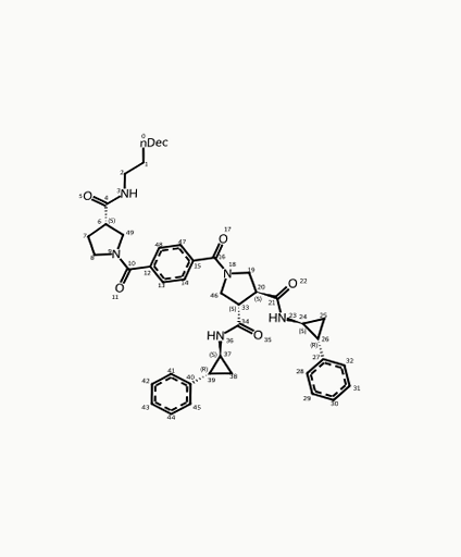 CCCCCCCCCCCCNC(=O)[C@H]1CCN(C(=O)c2ccc(C(=O)N3C[C@@H](C(=O)N[C@H]4C[C@@H]4c4ccccc4)[C@H](C(=O)N[C@H]4C[C@@H]4c4ccccc4)C3)cc2)C1